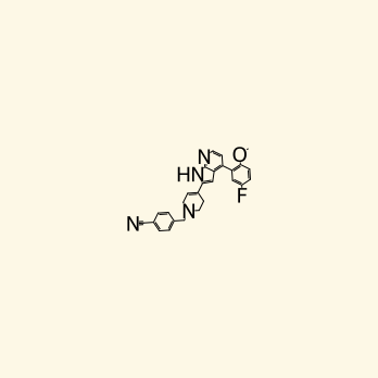 COc1ccc(F)cc1-c1ccnc2[nH]c(C3=CCN(Cc4ccc(C#N)cc4)CC3)cc12